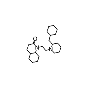 O=C1CCC2CCCCC2N1CCN1CCCCC1CC1CCCCC1